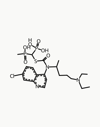 CCN(CC)CCCC(C)N(C(=O)SC(P(C)(=O)O)P(=O)(O)O)c1ccnc2cc(Cl)ccc12